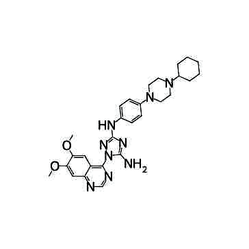 COc1cc2ncnc(-n3nc(Nc4ccc(N5CCN(C6CCCCC6)CC5)cc4)nc3N)c2cc1OC